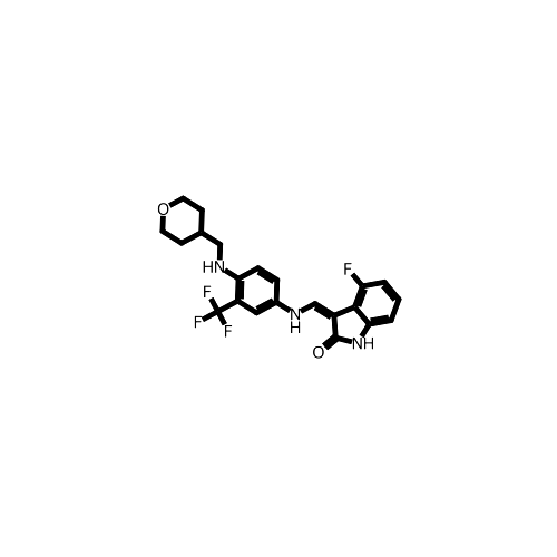 O=C1Nc2cccc(F)c2C1=CNc1ccc(NCC2CCOCC2)c(C(F)(F)F)c1